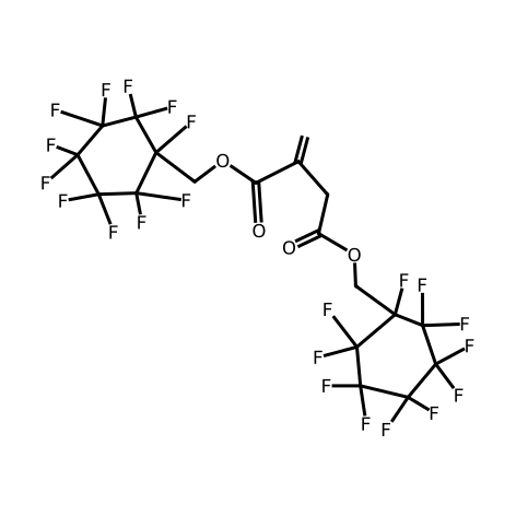 C=C(CC(=O)OCC1(F)C(F)(F)C(F)(F)C(F)(F)C(F)(F)C1(F)F)C(=O)OCC1(F)C(F)(F)C(F)(F)C(F)(F)C(F)(F)C1(F)F